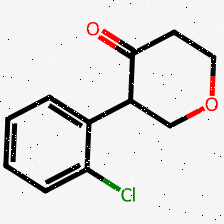 O=C1CCOCC1c1ccccc1Cl